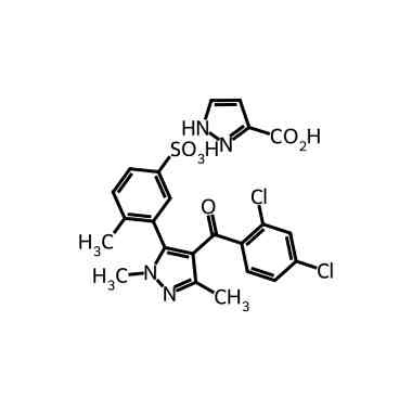 Cc1ccc(S(=O)(=O)O)cc1-c1c(C(=O)c2ccc(Cl)cc2Cl)c(C)nn1C.O=C(O)c1cc[nH]n1